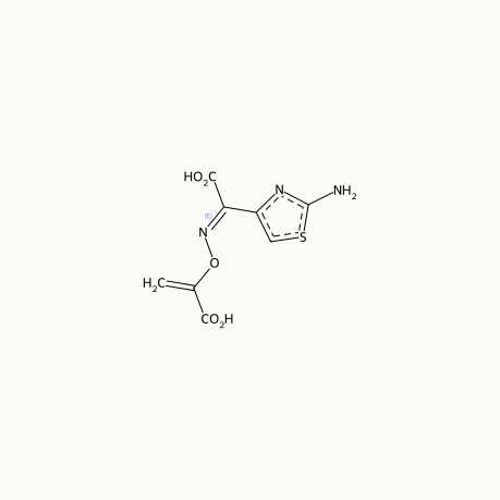 C=C(O/N=C(/C(=O)O)c1csc(N)n1)C(=O)O